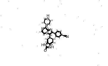 N#Cc1ccc(-c2nc3c(N4CCNCC4)nccn3c2C2C=c3[nH]c(=O)[nH]c3=CC2)cc1